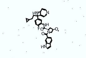 CO[C@@H]1C[C@H](C(=O)Nc2cc(C3(CCC4CC4)NC4C=CN=CC=C43)ccc2F)N(C(=O)c2ccc3cc[nH]c3c2)C1